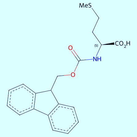 CSCC[C@H](NC(=O)OCC1c2ccccc2-c2ccccc21)C(=O)O